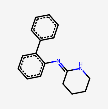 c1ccc(-c2ccccc2/N=C2\CCCCN2)cc1